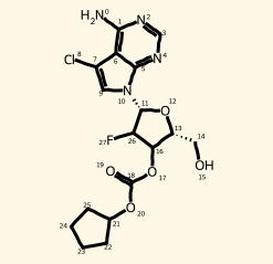 Nc1ncnc2c1c(Cl)cn2[C@@H]1O[C@H](CO)C(OC(=O)OC2CCCC2)C1F